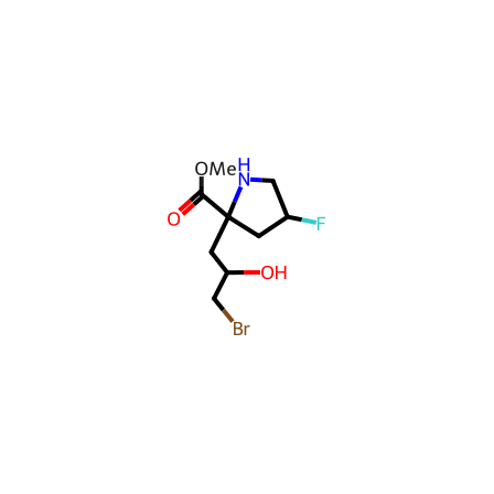 COC(=O)C1(CC(O)CBr)CC(F)CN1